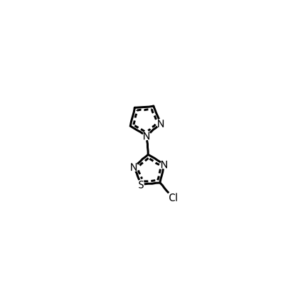 Clc1nc(-n2cccn2)ns1